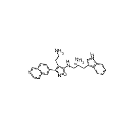 NCCc1c(-c2ccc3cnccc3c2)noc1NC[C@H](N)Cc1c[nH]c2ccccc12